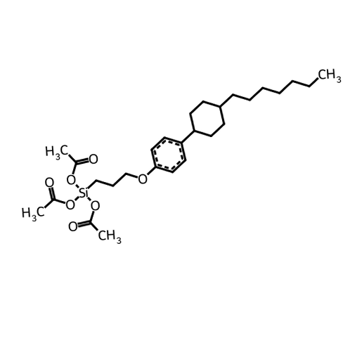 CCCCCCCC1CCC(c2ccc(OCCC[Si](OC(C)=O)(OC(C)=O)OC(C)=O)cc2)CC1